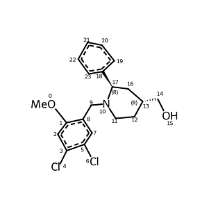 COc1cc(Cl)c(Cl)cc1CN1CC[C@@H](CO)C[C@@H]1c1ccccc1